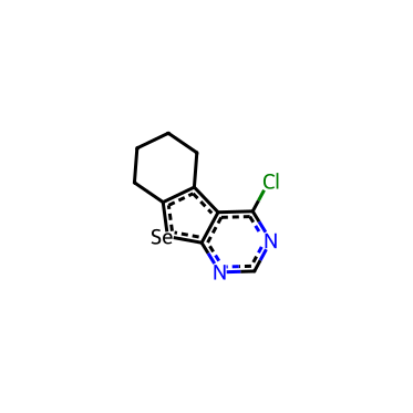 Clc1ncnc2[se]c3c(c12)CCCC3